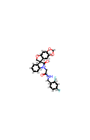 O=C(CN1C(=O)C2(COc3cc4c(cc32)OCO4)c2ccccc21)NCc1ccc(F)cc1F